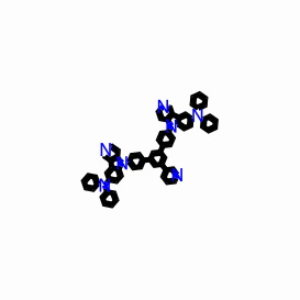 c1ccc(N(c2ccccc2)c2ccc3c(c2)c2cnccc2n3-c2ccc(-c3cc(-c4ccc(-n5c6ccncc6c6cc(N(c7ccccc7)c7ccccc7)ccc65)cc4)cc(-c4cccnc4)c3)cc2)cc1